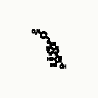 O=[N+]([O-])c1ccc(CONc2ncnc3c2ncn3[C@@H]2O[C@H](CO)C(O)C2O)cc1